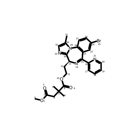 COC(=O)CC(C)(C)C(=O)OCC[C@@H]1N=C(c2ccccn2)c2cc(Br)ccc2-n2c(C)cnc21